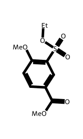 CCOS(=O)(=O)c1cc(C(=O)OC)ccc1OC